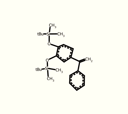 C=C(c1ccccc1)c1ccc(O[Si](C)(C)C(C)(C)C)c(O[Si](C)(C)C(C)(C)C)c1